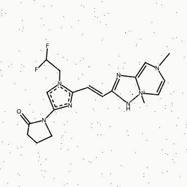 CN1C=C[N+]2(C)NC(/C=C/c3nc(N4CCCC4=O)cn3CC(F)F)=NC2=C1